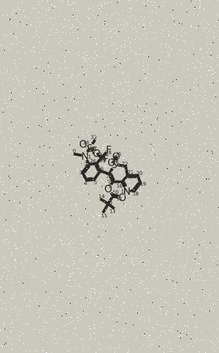 CN(c1cccc(C2=C(OC(=O)C(C)(C)C)c3ncccc3CS2(=O)=O)c1C(F)(F)F)S(C)(=O)=O